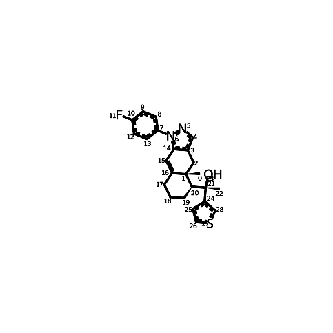 C[C@]12Cc3cnn(-c4ccc(F)cc4)c3C=C1CCC[C@@H]2[C@](C)(O)c1ccsc1